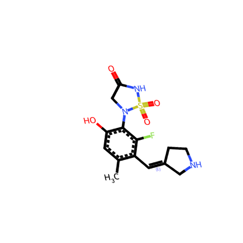 Cc1cc(O)c(N2CC(=O)NS2(=O)=O)c(F)c1/C=C1\CCNC1